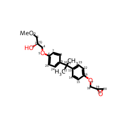 COC[C@H](O)COc1ccc(C(C)(C)c2ccc(OCC3CO3)cc2)cc1